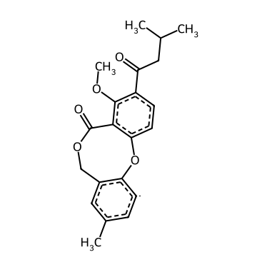 COc1c(C(=O)CC(C)C)ccc2c1C(=O)OCc1cc(C)c[c]c1O2